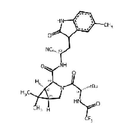 Cc1ccc2c(c1)C(C[C@@H](C#N)NC(=O)[C@@H]1[C@H]3[C@H](CN1C(=O)[C@@H](NC(=O)C(F)(F)F)C(C)(C)C)C3(C)C)C(=O)N2